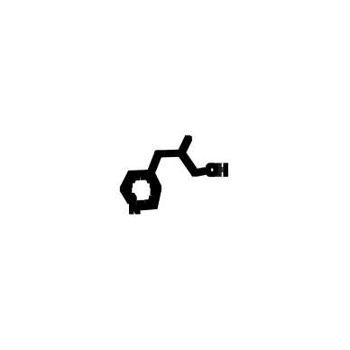 CC(CO)Cc1ccncc1